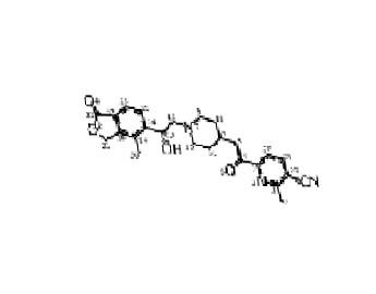 Cc1nc(C(=O)CC2CCN(C[C@H](O)c3ccc4c(c3C)COC4=O)CC2)ccc1C#N